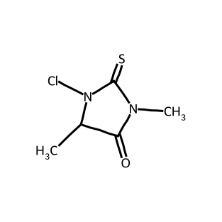 CC1C(=O)N(C)C(=S)N1Cl